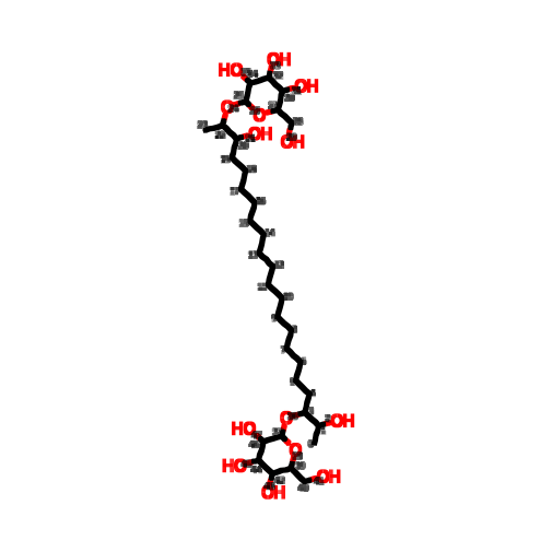 CC(O)C(CCCCCCCCCCCCCCCCC(O)C(C)OC1OC(CO)C(O)C(O)C1O)OC1OC(CO)C(O)C(O)C1O